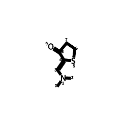 CN(C)C=C1SCCC1=O